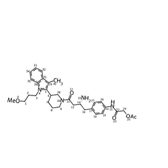 COCCCn1c(C2CCCN(C(=O)C[C@H](N)Cc3ccc(NC(=O)COC(C)=O)cc3)C2)c(C)c2ccccc21